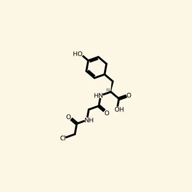 O=C(CCl)NCC(=O)N[C@@H](CC1C=CC(O)=CC1)C(=O)O